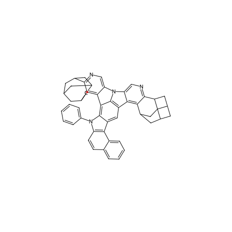 c1ccc(-n2c3ccc4ccccc4c3c3cc4c5c6c(ncc5n5c7cnc8c(c7c(c32)c45)C2CC3CC(CC8C3)C2)C2CC3CC4CC6CC432)cc1